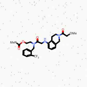 CNC(=O)OCCN(Cc1ccccc1C(F)(F)F)C(=O)CNc1cccc2c1CCN(C(=O)COC)C2